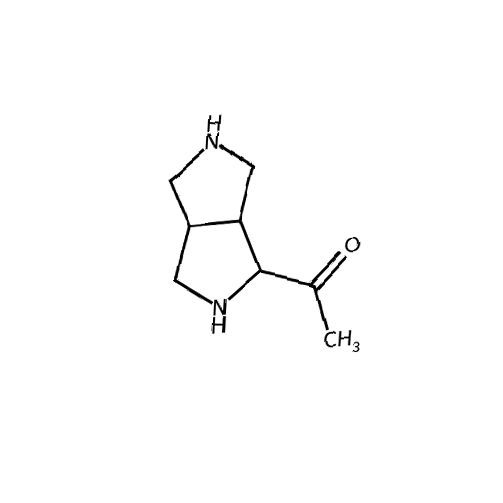 CC(=O)C1NCC2CNCC21